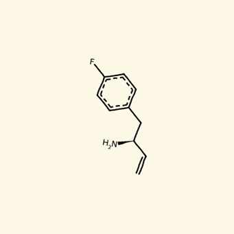 C=C[C@@H](N)Cc1ccc(F)cc1